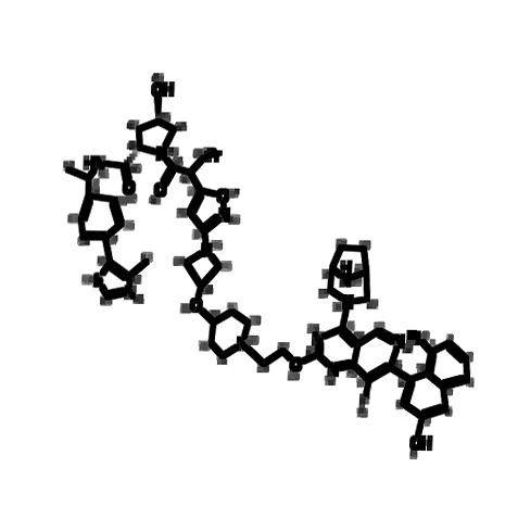 CCc1cccc2cc(O)cc(-c3ncc4c(N5CC6CCC(C5)N6)nc(OCCN5CCC(OC6CN(c7cc(C(C(=O)N8C[C@H](O)C[C@H]8C(=O)NC(C)c8ccc(-c9scnc9C)cc8)C(C)C)on7)C6)CC5)nc4c3F)c12